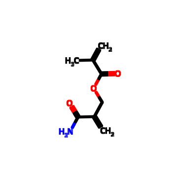 C=C(C)C(=O)OCC(=C)C(N)=O